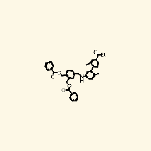 CCC(=O)c1ccc(-c2cc(NCc3ccc(COC(=O)c4ccccc4)c(COC(=O)c4ccccc4)c3)ccc2C)c(C)c1